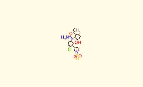 CCc1ccccc1N(C(N)=O)c1ccc(Cl)c([C@H]2CCN([SH](=O)=O)C2)c1O